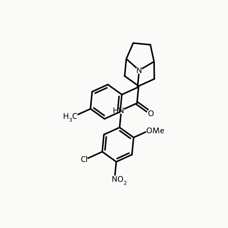 COc1cc([N+](=O)[O-])c(Cl)cc1NC(=O)C1CC2CCC(C1)N2Cc1ccc(C)cc1